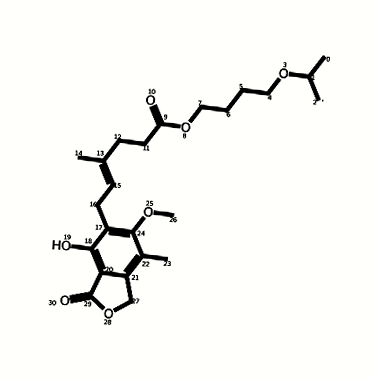 [CH2]C([CH2])OCCCCOC(=O)CC/C(C)=C/Cc1c(O)c2c(c(C)c1OC)COC2=O